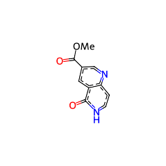 COC(=O)c1cnc2cc[nH]c(=O)c2c1